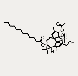 CCCCCCCCCCCC(=O)O[C@@]12CCC34C=C(C)[C@H](OC(C)=O)[C@@]3(O)[C@H](O)C(CO)=C[C@H](C4=O)[C@@H]1C2(C)C